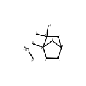 CC1(C)CC2CCC1(C)C2.CO